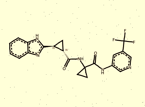 O=C(NC1(C(=O)Nc2cncc(C(F)(F)F)c2)CC1)[C@H]1C[C@@H]1c1nc2ccccc2[nH]1